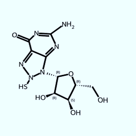 Nc1nc2n([C@@H]3O[C@H](CO)[C@@H](O)[C@H]3O)n(S)nc-2c(=O)n1